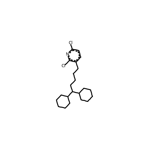 Clc1ccc(CCCCC(C2CCCCC2)C2CCCCC2)c(Cl)n1